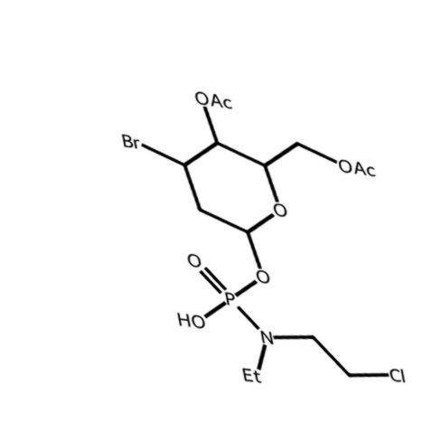 CCN(CCCl)P(=O)(O)OC1CC(Br)C(OC(C)=O)C(COC(C)=O)O1